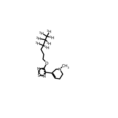 [2H]C([2H])([2H])C([2H])([2H])C([2H])([2H])CCCOc1nsnc1C1=CCCN(C)C1